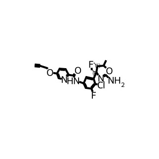 C#CCOc1ccc(C(=O)Nc2cc(F)c(Cl)c([C@]3(CF)N=C(N)OC(C)[C@H]3C)c2)nc1